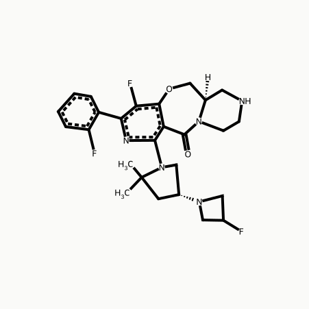 CC1(C)C[C@@H](N2CC(F)C2)CN1c1nc(-c2ccccc2F)c(F)c2c1C(=O)N1CCNC[C@@H]1CO2